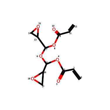 C=CC(=O)OC(OC(OC(=O)C=C)C1CO1)C1CO1